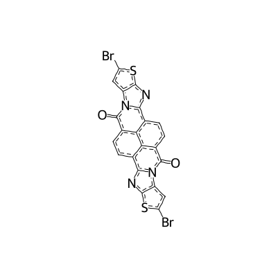 O=c1c2ccc3c4c(ccc(c24)c2nc4sc(Br)cc4n12)c(=O)n1c2cc(Br)sc2nc31